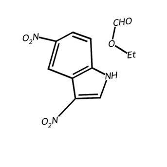 CCOC=O.O=[N+]([O-])c1ccc2[nH]cc([N+](=O)[O-])c2c1